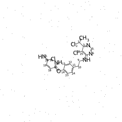 CC(Cl)c1ncnc(NCCc2ccc(OC(=N)/C=C\C(=N)Cl)cc2)c1Cl